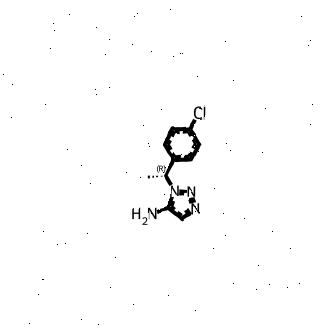 C[C@H](c1ccc(Cl)cc1)n1nncc1N